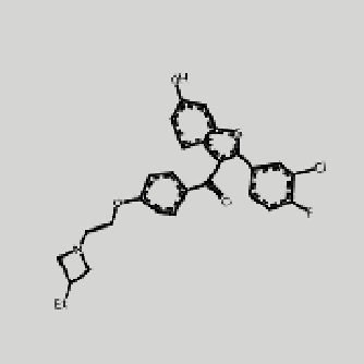 CCC1CN(CCOc2ccc(C(=O)c3c(-c4ccc(F)c(Cl)c4)sc4cc(O)ccc34)cc2)C1